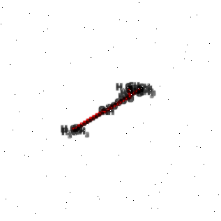 CC(C)(C)OC(=O)CCCCCCCCCCCCCCCCC(=O)NCCOCCOCCOCCOCCNC(=O)[C@H](CCCNC(=O)OC(C)(C)C)NC(=O)OC(C)(C)C